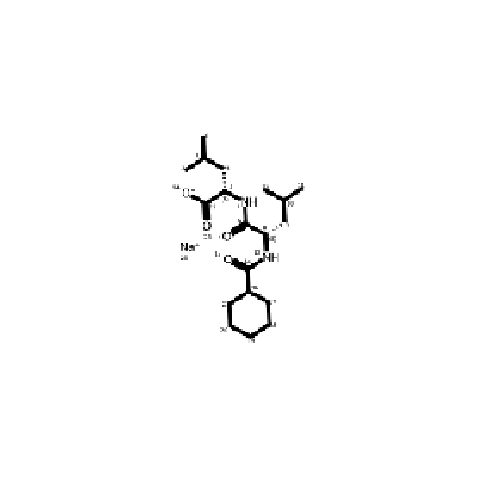 CC(C)C[C@H](NC(=O)[C@H](CC(C)C)NC(=O)C1CCCCC1)C(=O)[O-].[Na+]